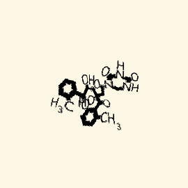 Cc1ccccc1C(=O)C(O)[C@H]1O[C@@H](N2CNC(=O)NC2=O)C[C@@]1(O)C(=O)c1ccccc1C